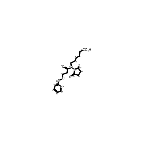 O=C(O)CCCCCN(C(=O)CCSSc1ccccn1)N1C(=O)CCC1=O